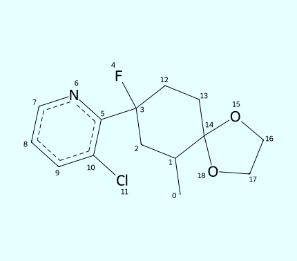 CC1CC(F)(c2ncccc2Cl)CCC12OCCO2